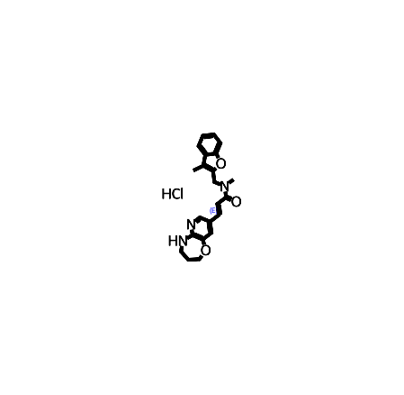 Cc1c(CN(C)C(=O)/C=C/c2cnc3c(c2)OCCCN3)oc2ccccc12.Cl